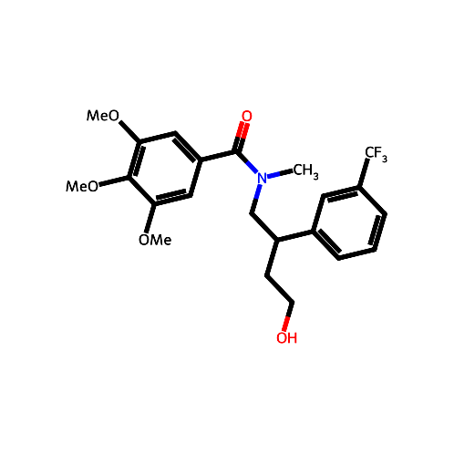 COc1cc(C(=O)N(C)CC(CCO)c2cccc(C(F)(F)F)c2)cc(OC)c1OC